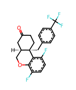 O=C1CC[C@@]2(Cc3ccc(C(F)(F)F)cc3)c3c(F)ccc(F)c3OC[C@H]2C1